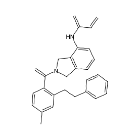 C=CC(=C)Nc1cccc2c1CN(C(=C)c1ccc(C)cc1CCc1ccccc1)C2